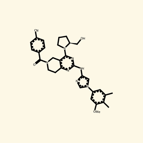 COc1cc(-n2cnc(Nc3nc4c(c(N5CCC[C@H]5CO)n3)CN(C(=O)c3ccc(C#N)cc3)CC4)c2)cc(C)c1C